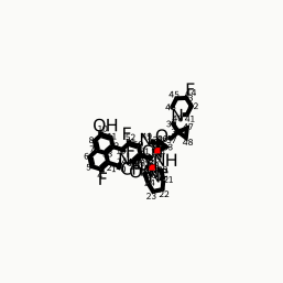 C#Cc1c(F)ccc2cc(O)cc(-c3nc(OC)c4c(N5CC6CCC(C5)N6C(=O)NC5(C(F)(F)F)CC5)nc(OCC5(CN6CCC(F)CC6)CC5)nc4c3F)c12